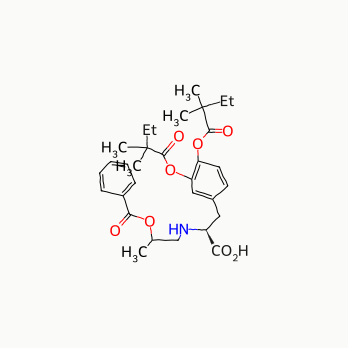 CCC(C)(C)C(=O)Oc1ccc(C[C@H](NCC(C)OC(=O)c2ccccc2)C(=O)O)cc1OC(=O)C(C)(C)CC